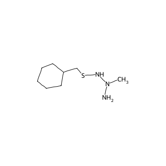 CN(N)NSCC1CCCCC1